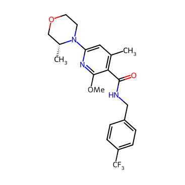 COc1nc(N2CCOC[C@H]2C)cc(C)c1C(=O)NCc1ccc(C(F)(F)F)cc1